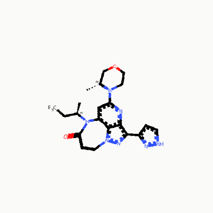 C[C@@H]1COCCN1c1cc2c3c(n1)c(-c1cc[nH]n1)nn3CCC(=O)N2[C@H](C)CC(F)(F)F